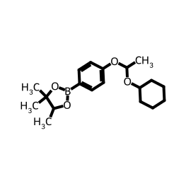 CC(Oc1ccc(B2OC(C)C(C)(C)O2)cc1)OC1CCCCC1